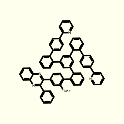 COc1cc(-c2nc3ccccc3nc2-c2ccccc2)ccc1-c1ccccc1-c1cc(-c2ccccc2-c2ccc(-c3ccccn3)cc2)cc(-c2ccccc2-c2ccc(-c3ccccn3)cc2)c1